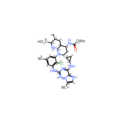 COC(=O)N[C@H]1CCN(c2cc(C#N)cc(Nc3nc(NC4CC4)c4ncc(C#N)n4n3)c2Cl)CC1C[C@H](C)C(N)C(=O)O